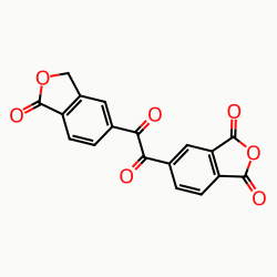 O=C(C(=O)c1ccc2c(c1)C(=O)OC2=O)c1ccc2c(c1)COC2=O